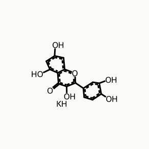 O=c1c(O)c(-c2ccc(O)c(O)c2)oc2cc(O)cc(O)c12.[KH]